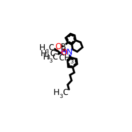 CCCCCCc1ccc(NC2CCCc3cccc(B4OC(C)(C)C(C)(C)O4)c32)cc1